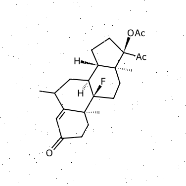 CC(=O)O[C@]1(C(C)=O)CC[C@H]2[C@@H]3CC(C)C4=CC(=O)CC[C@]4(C)[C@@]3(F)CC[C@@]21C